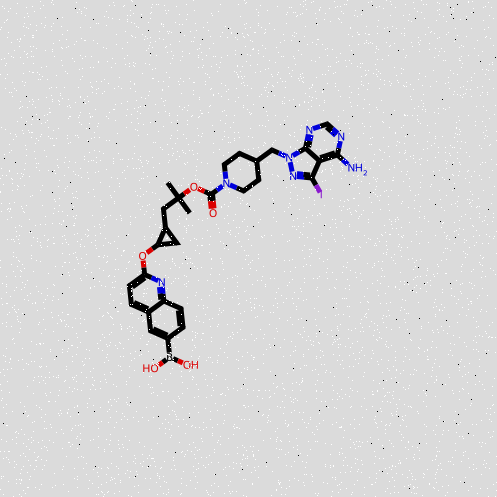 CC(C)(CC1CC1Oc1ccc2cc(B(O)O)ccc2n1)OC(=O)N1CCC(Cn2nc(I)c3c(N)ncnc32)CC1